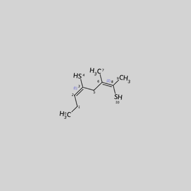 CC/C=C(/S)C/C(C)=C(/C)S